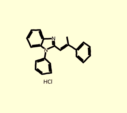 C/C(=C\c1nc2ccccc2n1-c1ccccc1)c1ccccc1.Cl